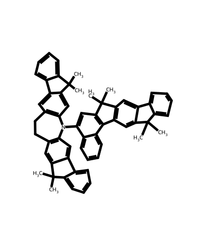 CC1(C)c2ccccc2-c2cc3c(cc21)CCc1cc2c(cc1N3c1cc3c(c4ccccc14)-c1cc4c(cc1C3(C)C)-c1ccccc1C4(C)C)C(C)(C)c1ccccc1-2